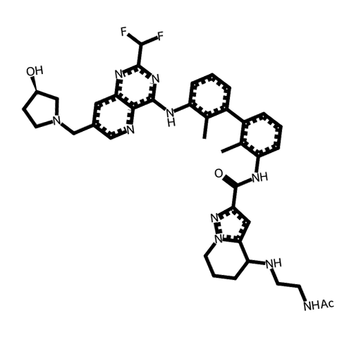 CC(=O)NCCNC1CCCn2nc(C(=O)Nc3cccc(-c4cccc(Nc5nc(C(F)F)nc6cc(CN7CC[C@@H](O)C7)cnc56)c4C)c3C)cc21